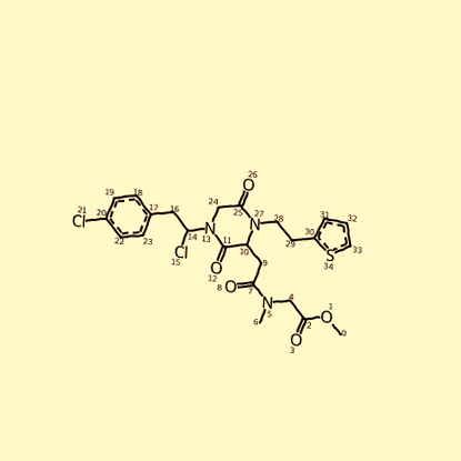 COC(=O)CN(C)C(=O)CC1C(=O)N(C(Cl)Cc2ccc(Cl)cc2)CC(=O)N1CCc1cccs1